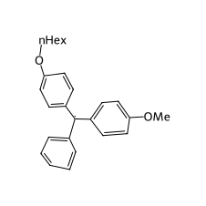 CCCCCCOc1ccc([C](c2ccccc2)c2ccc(OC)cc2)cc1